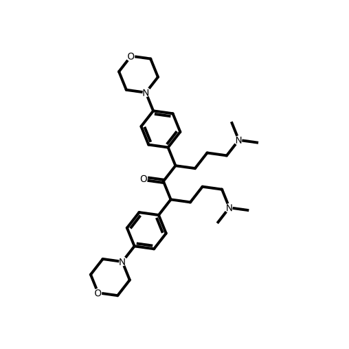 CN(C)CCCC(C(=O)C(CCCN(C)C)c1ccc(N2CCOCC2)cc1)c1ccc(N2CCOCC2)cc1